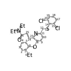 CCc1ccccc1Oc1ccc(CSc2c(Cl)cccc2Cl)nc1C=CC(=O)N(CC)CC